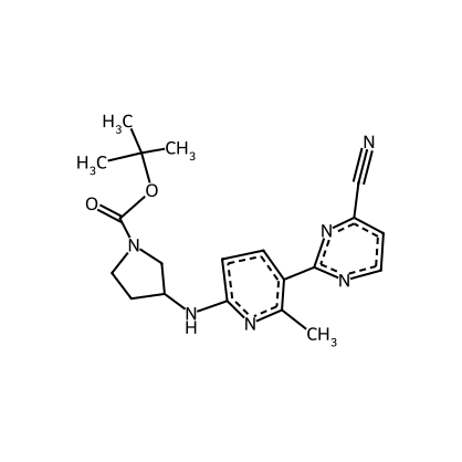 Cc1nc(NC2CCN(C(=O)OC(C)(C)C)C2)ccc1-c1nccc(C#N)n1